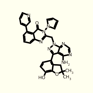 CC1(C)Cc2c(-c3nn(Cc4nc5cccc(-c6cccnc6)c5c(=O)n4-n4cccc4)c4ncnc(N)c34)ccc(O)c2O1